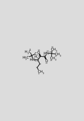 CCCC(NC(C)(C)C)C(=O)C(=O)NC(C)(C)C